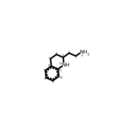 NCCC1CCc2ccccc2N1